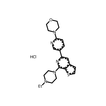 CCN1CCN(c2nc(-c3ccc(N4CCOCC4)nc3)cc3ccsc23)CC1.Cl